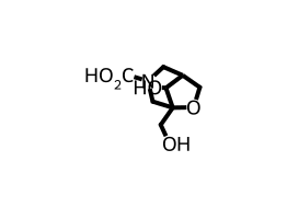 O=C(O)N1CC2COC(CO)(C1)C2O